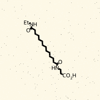 CCNC(=O)CCCCCCCCCCCCC(=O)NCCC(=O)O